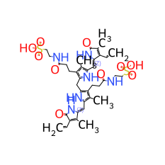 C=CC1=C(C)/C(=C/c2[nH]c(Cc3[nH]c(/C=C4\NC(=O)C(C)=C4C=C)c(C)c3CCC(=O)NCCS(=O)(=O)O)c(CCC(=O)NCCS(=O)(=O)O)c2C)NC1=O